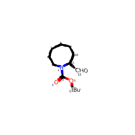 CC(C)(C)OC(=O)N1CCCCCCC1C=O